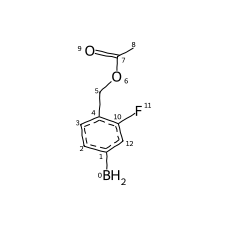 Bc1ccc(COC(C)=O)c(F)c1